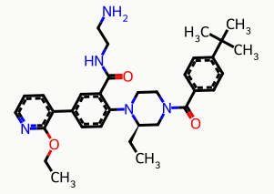 CCOc1ncccc1-c1ccc(N2CCN(C(=O)c3ccc(C(C)(C)C)cc3)C[C@H]2CC)c(C(=O)NCCN)c1